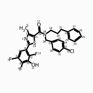 Cc1nc(-c2cc(F)c(F)c(O)c2F)sc1C(=O)N(CCCc1ccccc1)Cc1ccc(Cl)cc1